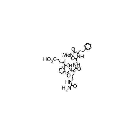 CNC(=O)[C@H](CCc1ccccc1)NC(=O)CNC(=O)[C@H](CCCNC(N)=O)NC(=O)[C@@H]1CCCN1C(=O)[C@@H](C)CCC(=O)O